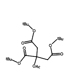 CC(=O)OC(CC(=O)OC(C)(C)C)(CC(=O)OC(C)(C)C)C(=O)OC(C)(C)C